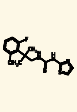 CC(C)(CNC(=S)Nc1nccs1)c1c(F)cccc1Cl